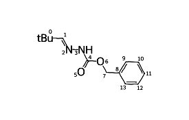 CC(C)(C)C=NNC(=O)OCc1ccccc1